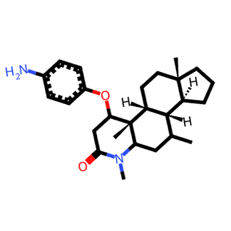 CC1CC2N(C)C(=O)CC(Oc3ccc(N)cc3)[C@]2(C)[C@@H]2CC[C@]3(C)CCC[C@H]3[C@H]12